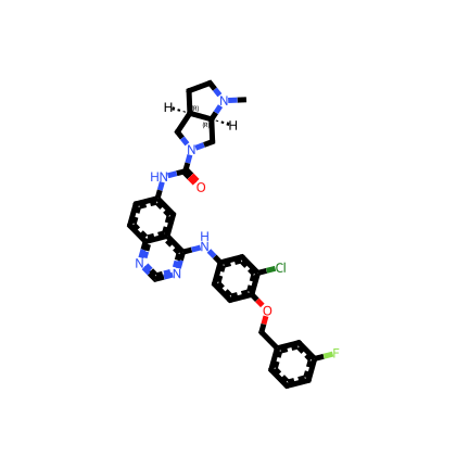 CN1CC[C@@H]2CN(C(=O)Nc3ccc4ncnc(Nc5ccc(OCc6cccc(F)c6)c(Cl)c5)c4c3)C[C@@H]21